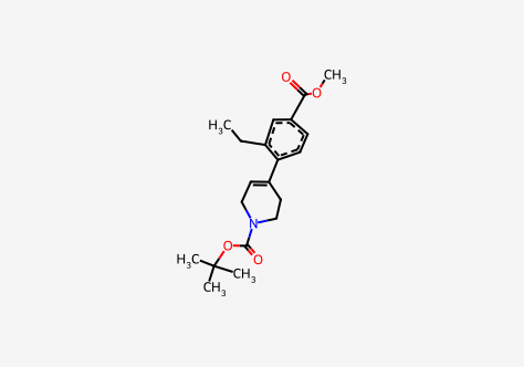 CCc1cc(C(=O)OC)ccc1C1=CCN(C(=O)OC(C)(C)C)CC1